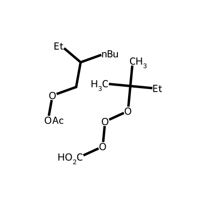 CCC(C)(C)OOOC(=O)O.CCCCC(CC)COOC(C)=O